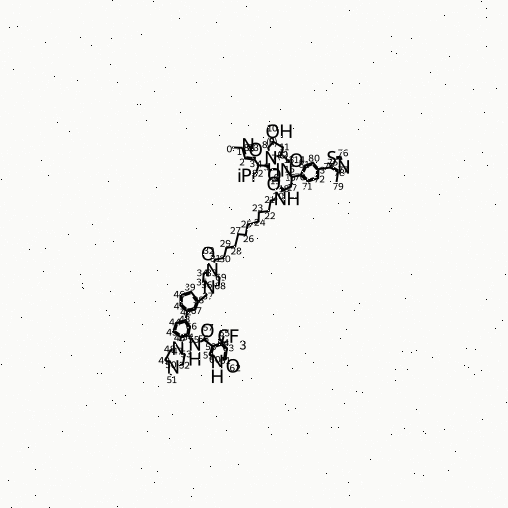 Cc1cc(C(C(=O)N2C[C@H](O)C[C@H]2C(=O)NC(CC(=O)NCCCCCCCCCCC(=O)N2CCN(Cc3cccc(-c4ccc(N5CCN(C)CC5)c(NC(=O)c5c[nH]c(=O)cc5C(F)(F)F)c4)c3)CC2)c2ccc(-c3scnc3C)cc2)C(C)C)on1